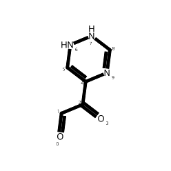 O=CC(=O)C1=CNNC=N1